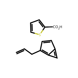 C=CCc1ccc2cc1-2.O=C(O)c1cccs1